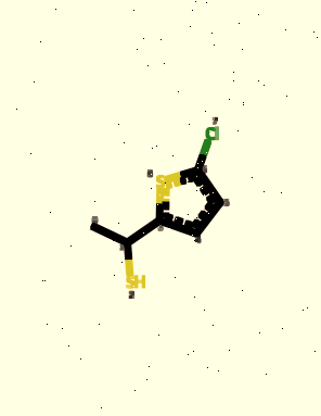 CC(S)c1ccc(Cl)s1